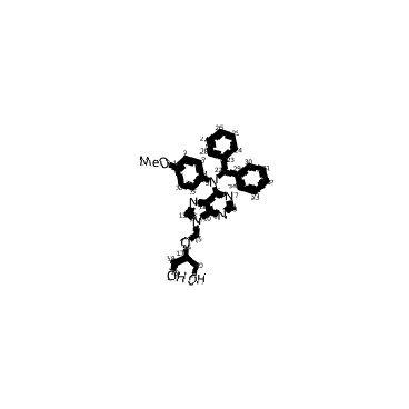 COc1ccc(N(c2ncnc3c2ncn3COC(CO)CO)C(c2ccccc2)c2ccccc2)cc1